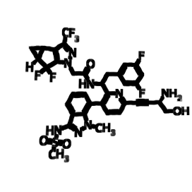 Cn1nc(NS(C)(=O)=O)c2cccc(-c3ccc(C#C[C@@H](N)CO)nc3C(Cc3cc(F)cc(F)c3)NC(=O)Cn3nc(C(F)(F)F)c4c3C(F)(F)[C@@H]3CC43)c21